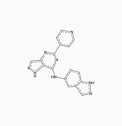 c1cc(-c2nc(Nc3ccc4[nH]ncc4c3)c3[nH]ncc3n2)ccn1